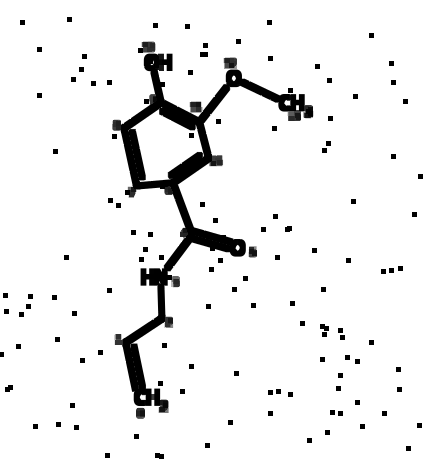 C=CCNC(=O)c1ccc(O)c(OC)c1